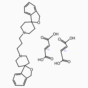 O=C(O)/C=C/C(=O)O.O=C(O)/C=C/C(=O)O.c1ccc2c(c1)COC21CCN(CCCN2CCC3(CC2)OCc2ccccc23)CC1